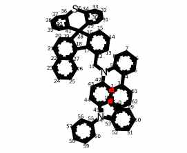 c1ccc(-c2ccccc2N(Cc2cccc3c2-c2c(ccc4ccccc24)C32c3ccccc3Sc3ccccc32)c2ccc3c(c2)c2ccccc2n3-c2ccccc2)cc1